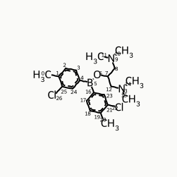 Cc1ccc(B(OC(CN(C)C)CN(C)C)c2ccc(C)c(Cl)c2)cc1Cl